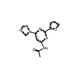 CC(=O)Nc1cc(-n2cncn2)nc(-c2ccco2)n1